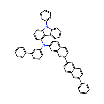 c1ccc(-c2cccc(N(c3ccc4ccc(-c5ccc6cc(-c7ccccc7)ccc6c5)cc4c3)c3cccc4c3c3ccccc3n4-c3ccccc3)c2)cc1